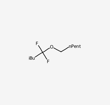 CCCCCCOC(F)(F)C(C)CC